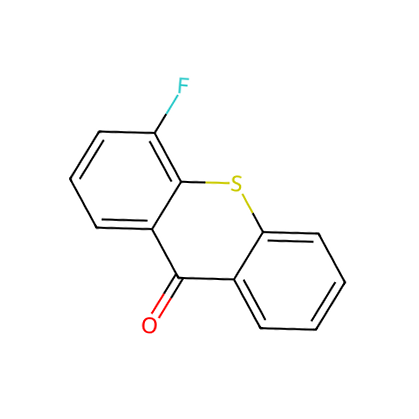 O=c1c2ccccc2sc2c(F)cccc12